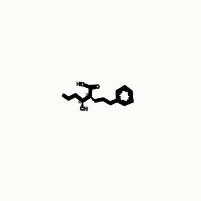 CCC[C@@H](O)[C@@H](CCCc1ccccc1)C(=O)O